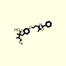 CON=C(C)C(C)(Cc1ccc(OCCc2nc(-c3ccccc3)oc2C)cc1)C(=O)O